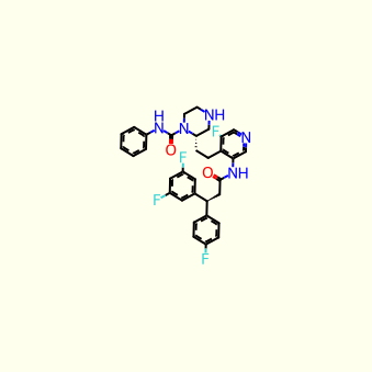 O=C(C[C@@H](c1ccc(F)cc1)c1cc(F)cc(F)c1)Nc1cncc(F)c1CC[C@H]1CNCCN1C(=O)Nc1ccccc1